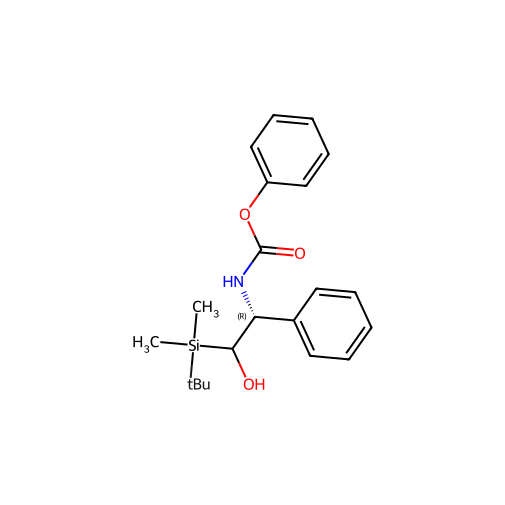 CC(C)(C)[Si](C)(C)C(O)[C@H](NC(=O)Oc1ccccc1)c1ccccc1